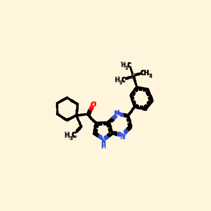 CCC1(C(=O)c2c[nH]c3ncc(-c4cccc([Si](C)(C)C)c4)nc23)CCCCC1